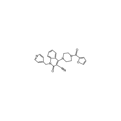 N#Cc1c(N2CCN(C(=O)c3ccco3)CC2)c2ccccc2n(Cc2ccncc2)c1=O